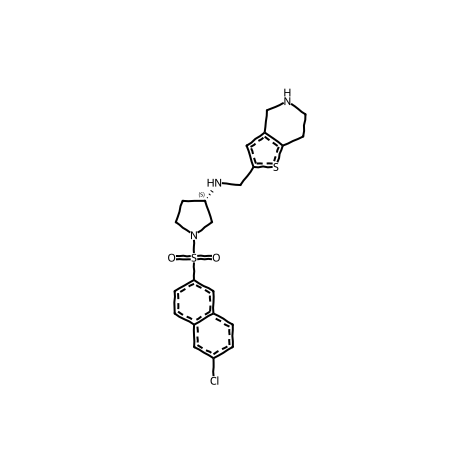 O=S(=O)(c1ccc2cc(Cl)ccc2c1)N1CC[C@H](NCc2cc3c(s2)CCNC3)C1